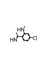 CNc1cc(Cl)ccc1C(C)=N